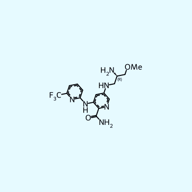 COC[C@H](N)CNc1cnc(C(N)=O)c(Nc2cccc(C(F)(F)F)n2)c1